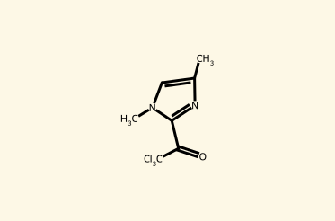 Cc1cn(C)c(C(=O)C(Cl)(Cl)Cl)n1